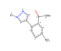 CCn1cc(-c2ccc([N+](=O)[O-])cc2C(=O)OC)cn1